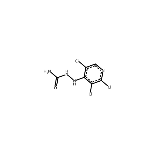 NC(=O)NNc1c(Cl)cnc(Cl)c1Cl